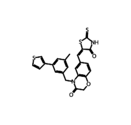 Cc1cc(CN2C(=O)COc3ccc(C=C4SC(=S)NC4=O)cc32)cc(-c2ccsc2)c1